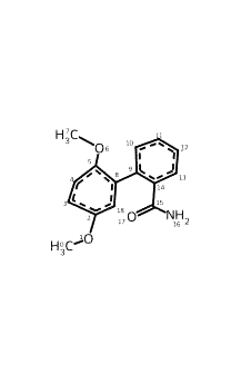 COc1ccc(OC)c(-c2cc[c]cc2C(N)=O)c1